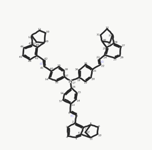 C(=C\c1cccc2c1C1CCC2C1)/c1ccc(N(c2ccc(/C=C/c3cccc4c3C3CCC4C3)cc2)c2ccc(/C=C/c3cccc4c3C3CCC4C3)cc2)cc1